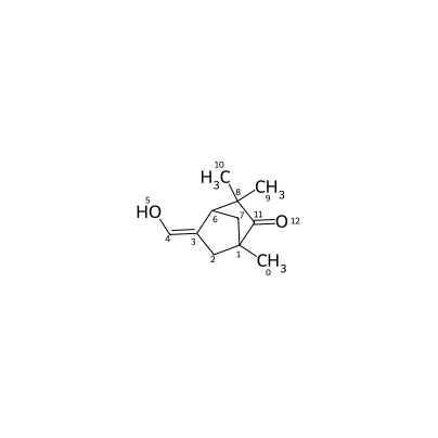 CC12CC(=CO)C(C1)C(C)(C)C2=O